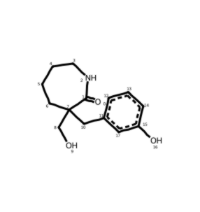 O=C1NCCCCC1(CO)Cc1cccc(O)c1